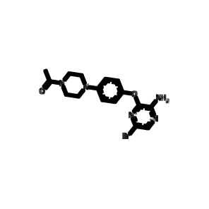 CC(=O)N1CCN(c2ccc(Oc3nc(Br)cnc3N)cc2)CC1